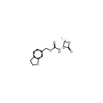 C[C@@H]1OC(=O)[C@@H]1NC(=O)OCc1ccc2c(c1)OCC2